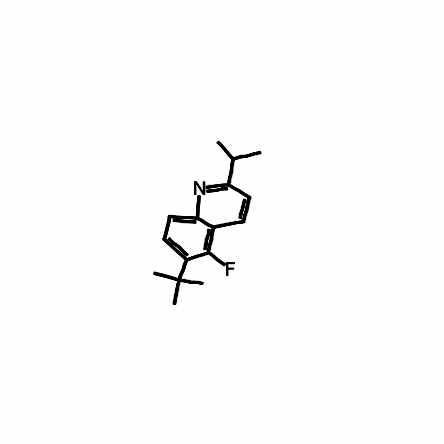 CC(C)c1ccc2c(F)c(C(C)(C)C)ccc2n1